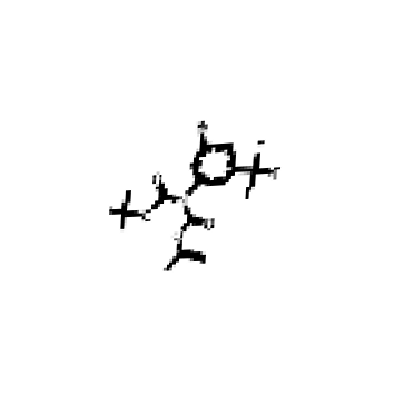 C=C(C)OC(=O)N(C(=O)OC(C)(C)C)c1cc(Br)cc(C(F)(F)F)c1